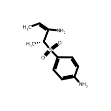 C/C=C(/N)[C@@H](C)S(=O)(=O)c1ccc(N)cc1